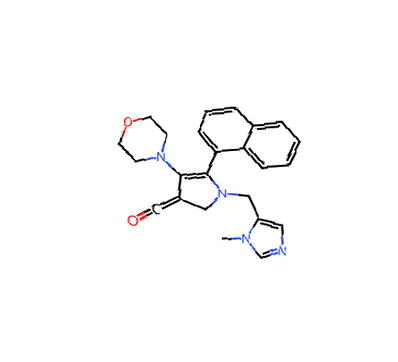 Cn1cncc1CN1CC(=C=O)C(N2CCOCC2)=C1c1cccc2ccccc12